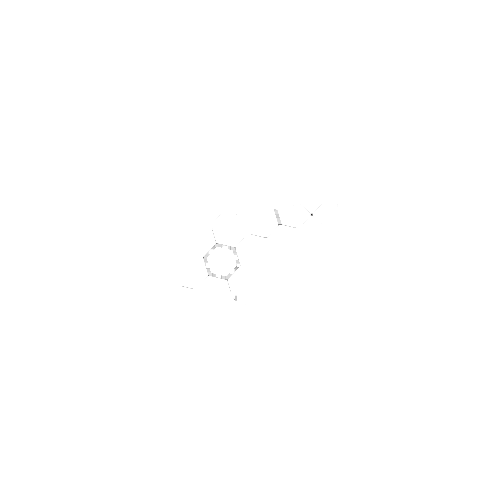 COc1cc(OC)c(OCC(=O)OC(C)(C)C)cc1N